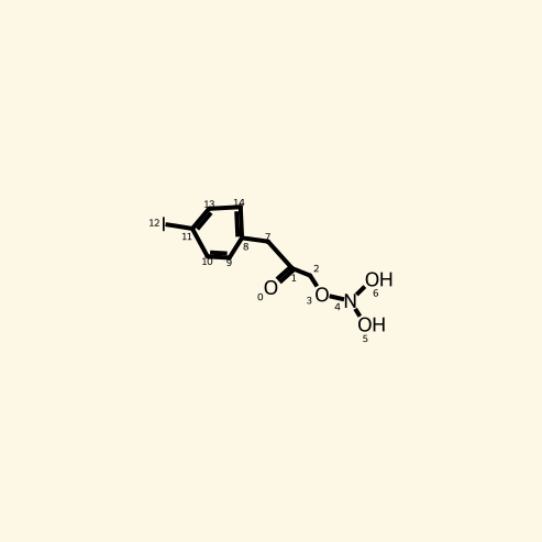 O=C(CON(O)O)Cc1ccc(I)cc1